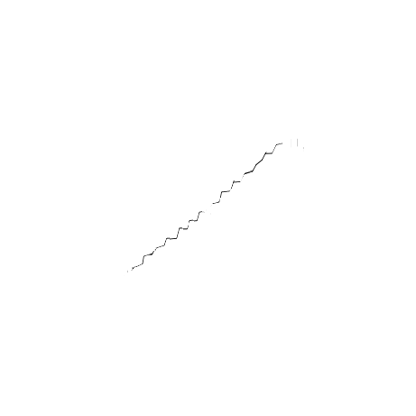 CCCCCCCCCCCCCCSCCCCCCCCCCCCCC